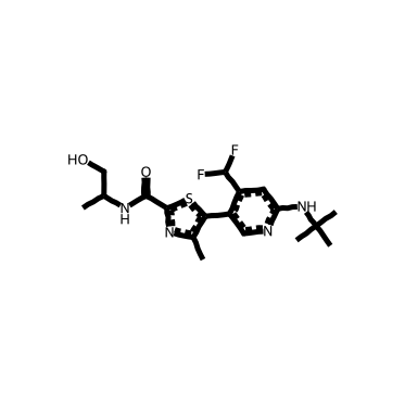 Cc1nc(C(=O)NC(C)CO)sc1-c1cnc(NC(C)(C)C)cc1C(F)F